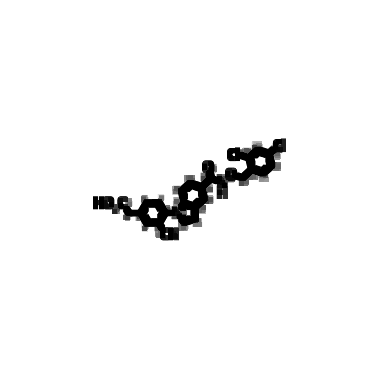 N#Cc1cc(CC(=O)O)ccc1-n1ccc2cc(C(=O)NOCc3ccc(Cl)cc3Cl)ccc21